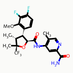 COc1c([C@@H]2[C@@H](C(=O)Nc3cc(C(N)=O)ncc3C)O[C@@](C)(C(F)(F)F)[C@@H]2C)ccc(F)c1F